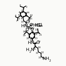 CC(C)c1cc(C(C)C)c(CC(=O)NS(=O)(=O)Oc2c(C(C)C)cc(NC(=O)C(N)CCCCN)cc2C(C)C)c(C(C)C)c1.Cl.Cl